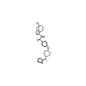 O=C(NC1C2CC3C[C@H](CCCC31)C2)c1ccc(OC2CCC(Oc3ccccn3)CC2)cc1